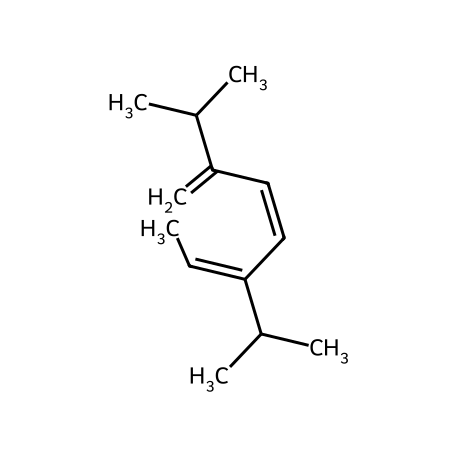 C=C(/C=C\C(=C/C)C(C)C)C(C)C